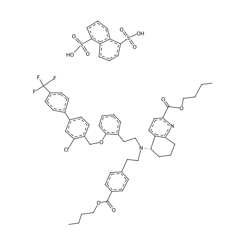 CCCCOC(=O)c1ccc(CCN(CCc2ccccc2OCc2ccc(-c3ccc(C(F)(F)F)cc3)cc2Cl)[C@H]2CCCc3nc(C(=O)OCCCC)ccc32)cc1.O=S(=O)(O)c1cccc2c(S(=O)(=O)O)cccc12